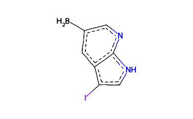 Bc1cnc2[nH]cc(I)c2c1